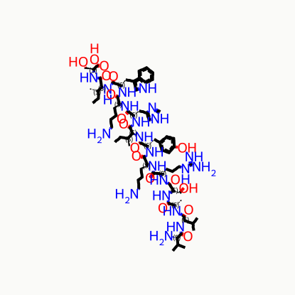 CC[C@H](C)[C@H](NC(=O)[C@H](Cc1c[nH]c2ccccc12)NC(=O)[C@H](CCCCN)NC(=O)[C@H](Cc1c[nH]cn1)NC(=O)[C@@H](NC(=O)[C@H](Cc1ccc(O)cc1)NC(=O)[C@H](CCCCN)NC(=O)[C@H](CCCNC(=N)N)NC(=O)[C@H](CO)NC(=O)[C@H](C)NC(=O)[C@@H](NC(=O)[C@@H](N)C(C)C)C(C)C)[C@@H](C)CC)C(=O)N[C@@H](CO)C(=O)O